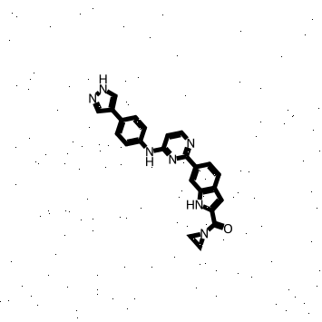 O=C(c1cc2ccc(-c3nccc(Nc4ccc(-c5cn[nH]c5)cc4)n3)cc2[nH]1)N1CC1